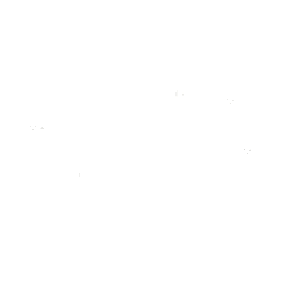 COc1ccc(-c2ccc(OC)c3c2CCC3=O)c(OCC(C)C)c1OC